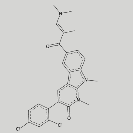 C/C(=C\N(C)C)C(=O)c1ccc2c(c1)c1cc(-c3ccc(Cl)cc3Cl)c(=O)n(C)c1n2C